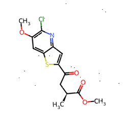 COC(=O)[C@@H](C)CC(=O)c1cc2nc(Cl)c(OC)cc2s1